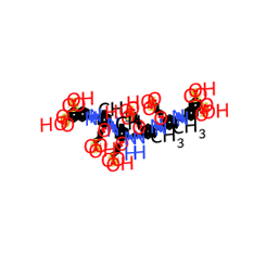 Cc1cc(N=Nc2cc(OCCCS(=O)(=O)O)c(NCNc3cc(C)c(N=Nc4cc(C)c(N=Nc5ccc6c(S(=O)(=O)O)cc(S(=O)(=O)O)cc6c5)cc4OCCCS(=O)(=O)O)cc3OCCCS(=O)(=O)O)cc2C)c(OCCCS(=O)(=O)O)cc1N=Nc1ccc2c(S(=O)(=O)O)cc(S(=O)(=O)O)cc2c1